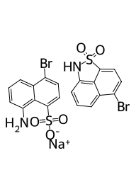 Nc1cccc2c(Br)ccc(S(=O)(=O)[O-])c12.O=S1(=O)Nc2cccc3c(Br)ccc1c23.[Na+]